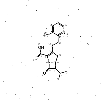 CC(C)C1C(=O)N2C(C(=O)O)=C(SCc3ncccc3O)CC12